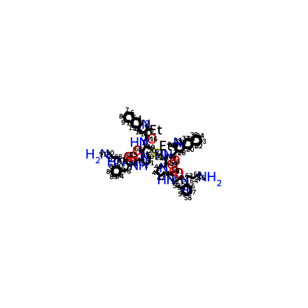 CCc1nc2cc3ccccc3cc2cc1C(=O)NC(CSSC[C@H](NC(=O)c1cc2cc3ccccc3cc2nc1CC)C(=O)N1CCC[C@H]1C(=O)N[C@@H](Cc1ccccc1)C(=O)NCCCN)C(=O)N1CCC[C@H]1C(=O)N[C@@H](Cc1ccccc1)C(=O)NCCCN